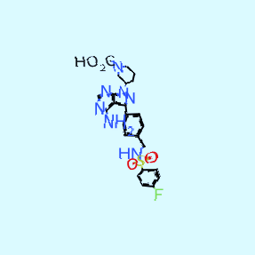 Nc1ncnc2c1c(-c1ccc(CNS(=O)(=O)c3ccc(F)cc3)cc1)nn2[C@@H]1CCCN(C(=O)O)C1